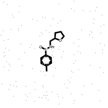 Cc1ccc([S+]([O-])NCC2CCCO2)cc1